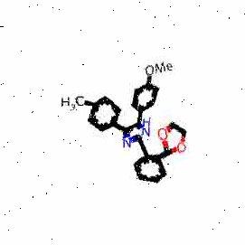 COc1ccc(-c2[nH]c(-c3ccccc3C3OCCO3)nc2-c2ccc(C)cc2)cc1